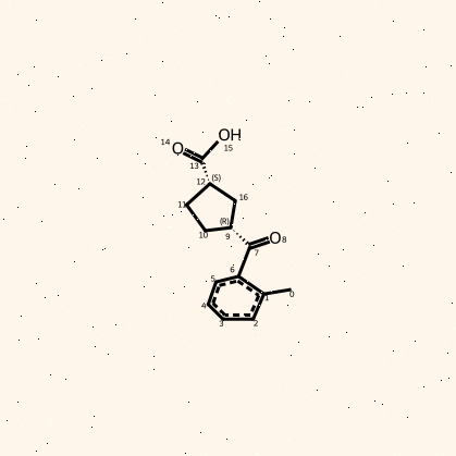 Cc1ccccc1C(=O)[C@@H]1CC[C@H](C(=O)O)C1